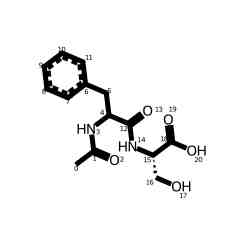 CC(=O)NC(Cc1[c]cccc1)C(=O)N[C@@H](CO)C(=O)O